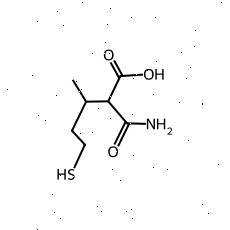 CC(CCS)C(C(N)=O)C(=O)O